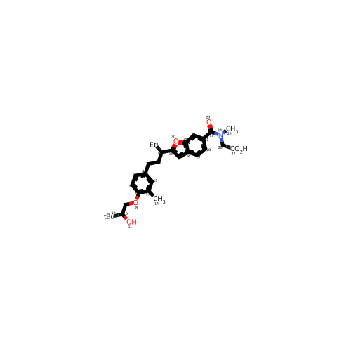 CCC(CCc1ccc(OCC(O)C(C)(C)C)c(C)c1)c1cc2ccc(C(=O)N(C)CC(=O)O)cc2o1